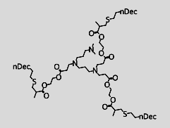 CCCCCCCCCCCCSCC(C)C(=O)OCCOC(=O)CCN(CCCN(C)C)CCCN(CCC(=O)OCCOC(=O)C(C)CSCCCCCCCCCCCC)CCC(=O)OCCOC(=O)C(C)CSCCCCCCCCCCCC